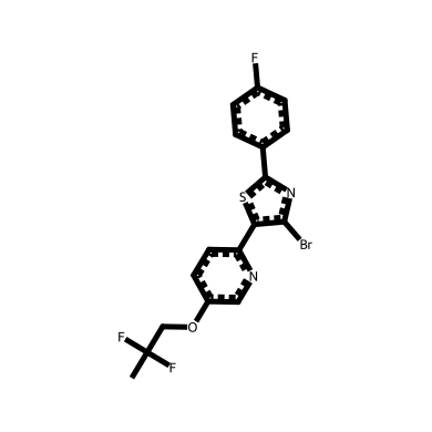 CC(F)(F)COc1ccc(-c2sc(-c3ccc(F)cc3)nc2Br)nc1